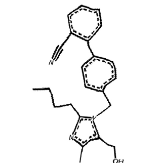 CCCCc1nc(Cl)c(CO)n1Cc1ccc(-c2ccccc2C#N)cc1